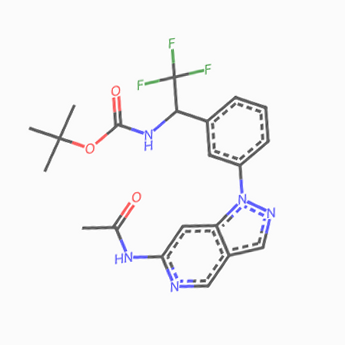 CC(=O)Nc1cc2c(cn1)cnn2-c1cccc(C(NC(=O)OC(C)(C)C)C(F)(F)F)c1